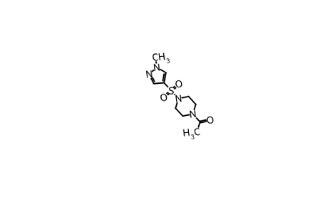 CC(=O)N1CCN(S(=O)(=O)c2cnn(C)c2)CC1